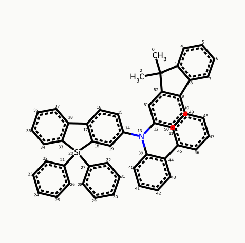 CC1(C)c2ccccc2-c2ccc(N(c3ccc4c(c3)[Si](c3ccccc3)(c3ccccc3)c3ccccc3-4)c3ccccc3-c3ccccc3)cc21